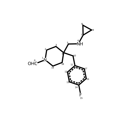 O=CN1CCC(CNC2CC2)(Cc2ccc(F)cc2)CC1